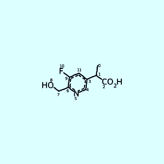 CC(C(=O)O)c1cnc(CO)c(F)c1